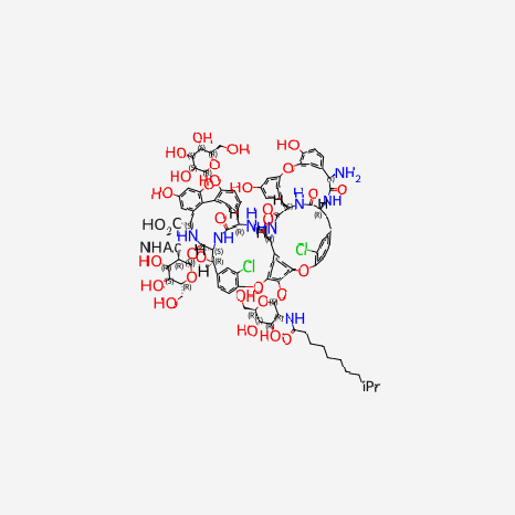 CC(=O)N[C@H]1[C@H](O[C@@H]2c3ccc(c(Cl)c3)Oc3cc4cc(c3O[C@@H]3O[C@H](CO)[C@@H](O)[C@H](O)[C@H]3NC(=O)CCCCCCCC(C)C)Oc3ccc(cc3Cl)C[C@H]3NC(=O)[C@H](N)c5ccc(O)c(c5)Oc5cc(O)cc(c5)[C@H](NC3=O)C(=O)N[C@H]4C(=O)N[C@H]3C(=O)N[C@@H]2C(=O)N[C@H](C(=O)O)c2cc(O)cc(O[C@H]4O[C@H](CO)[C@@H](O)[C@H](O)[C@@H]4O)c2-c2cc3ccc2O)O[C@H](CO)[C@@H](O)[C@@H]1O